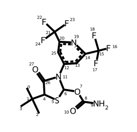 CC(C)(C)C1SC(OC(N)=O)N(c2cc(C(F)(F)F)nc(C(F)(F)F)c2)C1=O